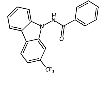 O=C(Nn1c2ccccc2c2ccc(C(F)(F)F)cc21)c1ccccc1